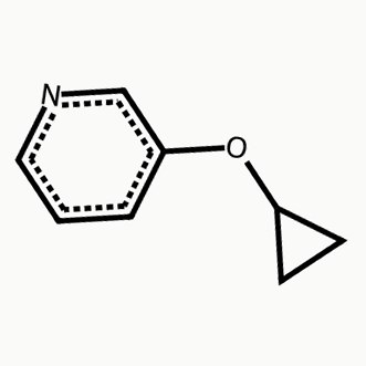 c1cncc(OC2CC2)c1